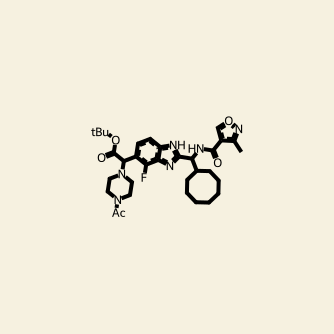 CC(=O)N1CCN(C(C(=O)OC(C)(C)C)c2ccc3[nH]c(C(NC(=O)c4conc4C)C4CCCCCCC4)nc3c2F)CC1